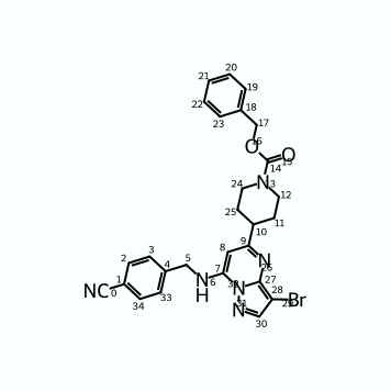 N#Cc1ccc(CNc2cc(C3CCN(C(=O)OCc4ccccc4)CC3)nc3c(Br)cnn23)cc1